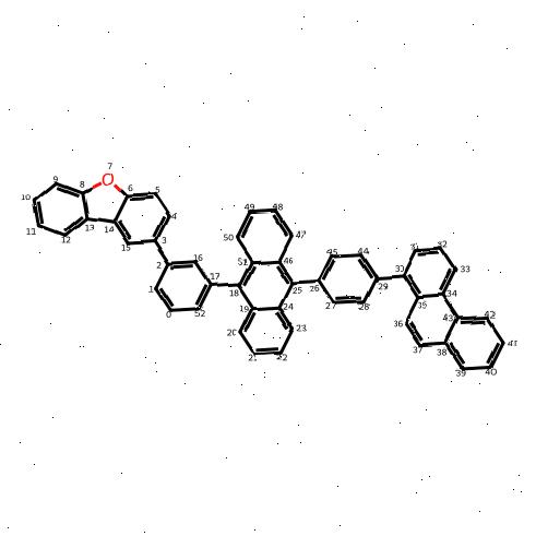 c1cc(-c2ccc3oc4ccccc4c3c2)cc(-c2c3ccccc3c(-c3ccc(-c4cccc5c4ccc4ccccc45)cc3)c3ccccc23)c1